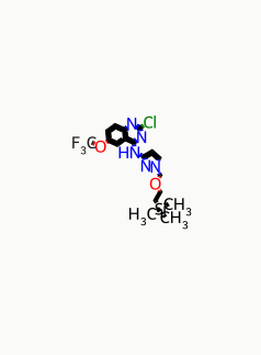 C[Si](C)(C)CCOCn1ccc(Nc2nc(Cl)nc3ccc(OC(F)(F)F)cc23)n1